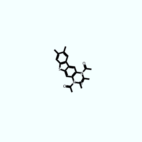 CC(=O)N(C(C)=O)c1cc2sc3cc(C)c(C)cc3c2cc1N(C(C)=O)C(C)=O